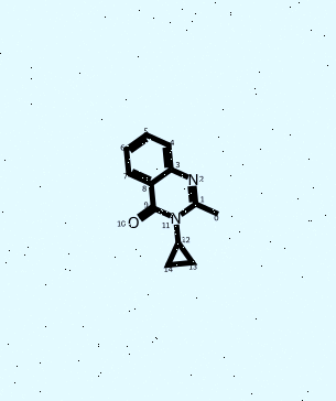 Cc1nc2ccccc2c(=O)n1C1CC1